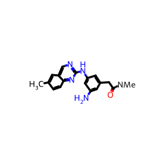 CNC(=O)Cc1cc(N)cc(Nc2ncc3cc(C)ccc3n2)c1